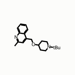 Cc1cc(COC2CCN(C(C)(C)C)CC2)c2ccccc2n1